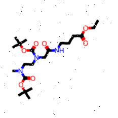 CCOC(=O)CCCNC(=O)CN(CCN(C)C(=O)OC(C)(C)C)C(=O)OC(C)(C)C